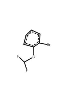 FC(F)Oc1ccccc1Br